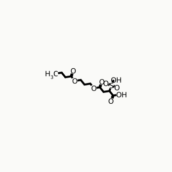 CCCC(=O)OCCCOC(=O)CC(C(=O)O)S(=O)(=O)O